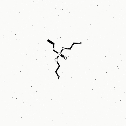 C=CCP(=O)(OCCF)OCCF